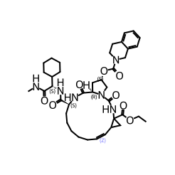 CCOC(=O)C12CC1/C=C\CCCCC[C@@H](C(=O)N[C@H](C(=O)NC)C1CCCCC1)NC(=O)[C@H]1C[C@H](OC(=O)N3CCc4ccccc4C3)CN1C(=O)N2